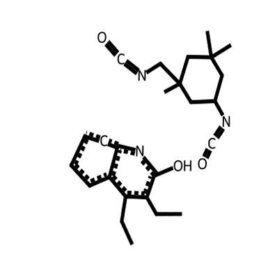 CC1(C)CC(N=C=O)CC(C)(CN=C=O)C1.CCc1c(O)nc2ccccc2c1CC